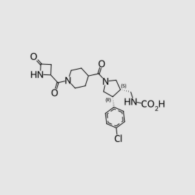 O=C(O)NC[C@H]1CN(C(=O)C2CCN(C(=O)C3CC(=O)N3)CC2)C[C@H]1c1ccc(Cl)cc1